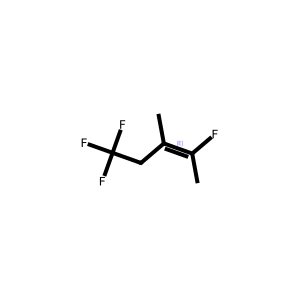 C/C(F)=C(/C)CC(F)(F)F